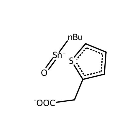 CCC[CH2][Sn+]=[O].O=C([O-])Cc1cccs1